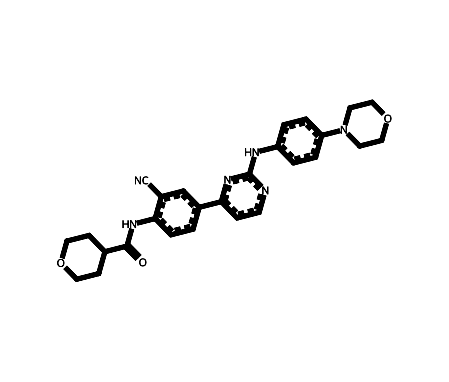 N#Cc1cc(-c2ccnc(Nc3ccc(N4CCOCC4)cc3)n2)ccc1NC(=O)C1CCOCC1